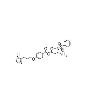 N[C@H](CC(=O)OC(=O)c1ccc(OCCCc2ncc[nH]2)cc1)NS(=O)(=O)c1ccccc1